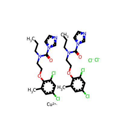 CCCN(CCOc1c(C)cc(Cl)cc1Cl)C(=O)n1ccnc1.CCCN(CCOc1c(C)cc(Cl)cc1Cl)C(=O)n1ccnc1.[Cl-].[Cl-].[Cu+2]